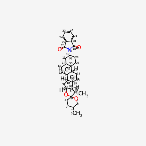 CC1CC[C@@]2(OC1)O[C@H]1C[C@H]3C4CCC5C[C@H](N6C(=O)c7ccccc7C6=O)CCC5(C)[C@H]4CCC3(C)[C@H]1[C@@H]2C